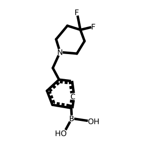 OB(O)c1ccc(CN2CCC(F)(F)CC2)cc1